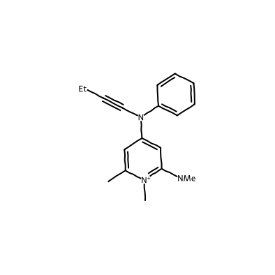 CCC#CN(c1ccccc1)c1cc(C)[n+](C)c(NC)c1